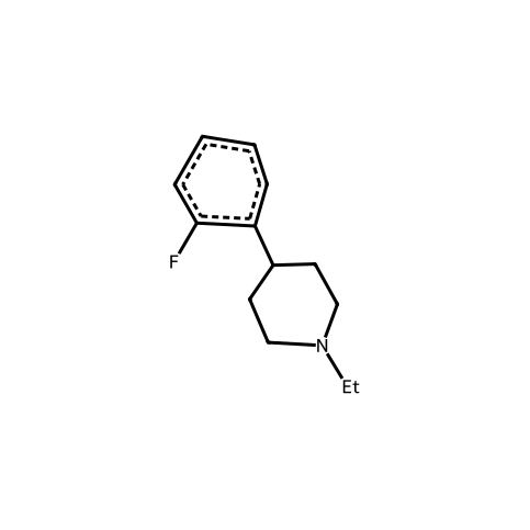 CCN1CCC(c2ccccc2F)CC1